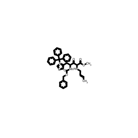 CC=CCNC(C(=O)OC)C(=O)C(Cc1cncn1C(c1ccccc1)(c1ccccc1)c1ccccc1)NC(=O)OCc1ccccc1